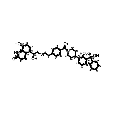 O=C(c1ccc(CCNC[C@H](O)c2ccc(O)c3[nH]c(=O)ccc23)cc1)N1CCC(c2cccc([C@](O)(C(=O)O)c3ccccc3)c2)CC1